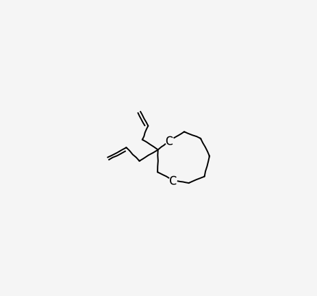 C=CCC1(CC=C)CCCCCCCC1